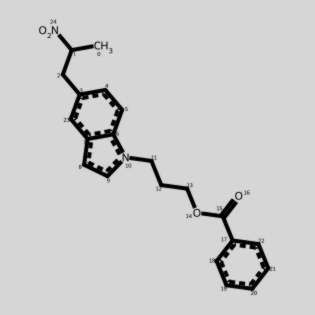 CC(Cc1ccc2c(ccn2CCCOC(=O)c2ccccc2)c1)[N+](=O)[O-]